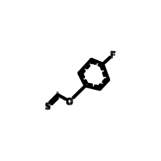 Fc1ccc(O[C]=S)cc1